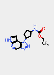 O=C(NC1CCC(n2nnc3cnc4[nH]ccc4c32)C1)OCC(F)(F)F